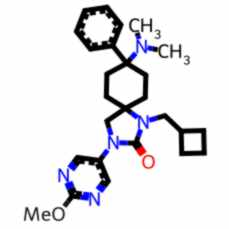 COc1ncc(N2CC3(CCC(c4ccccc4)(N(C)C)CC3)N(CC3CCC3)C2=O)cn1